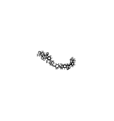 COc1cc2nn(C3CCC(CN4CCN(c5ccc6c(c5F)C(=O)N(N5CCC(=O)NC5=O)C6=O)CC4)CC3)cc2cc1NC(=O)c1cccc(C(F)(F)F)n1